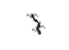 C=C(C)C(=O)OCCOc1ccc(/C=C/C(=O)c2ccc(OC(=O)C(=C)CC(=O)OC3CCCCC3)c(C)c2)cc1